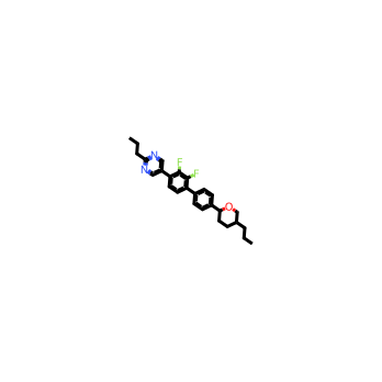 CCCc1ncc(-c2ccc(-c3ccc(C4CCC(CCC)CO4)cc3)c(F)c2F)cn1